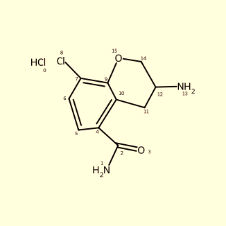 Cl.NC(=O)c1ccc(Cl)c2c1CC(N)CO2